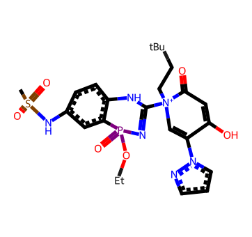 CCOP1(=O)N=C([N+]2(CCC(C)(C)C)C=C(n3cccn3)C(O)=CC2=O)Nc2ccc(NS(C)(=O)=O)cc21